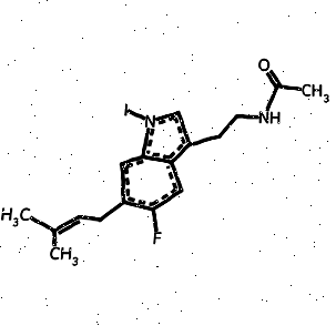 CC(=O)NCCc1cn(I)c2cc(CC=C(C)C)c(F)cc12